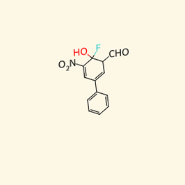 O=CC1C=C(c2ccccc2)C=C([N+](=O)[O-])C1(O)F